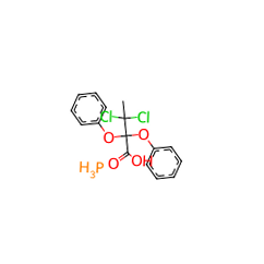 CC(Cl)(Cl)C(Oc1ccccc1)(Oc1ccccc1)C(=O)O.P